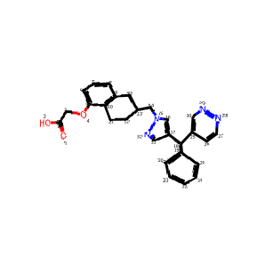 O=C(O)COc1cccc2c1CCC(Cn1cc(C(c3ccccc3)c3ccnnc3)cn1)C2